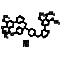 COc1cc(-c2cc(CN3CCC(N(Cc4ccnc(-c5cc(OC)c(OC)c(OC)c5)c4)c4ccc(Cl)cc4)CC3)ccn2)cc(OC)c1OC.Cl.Cl.Cl